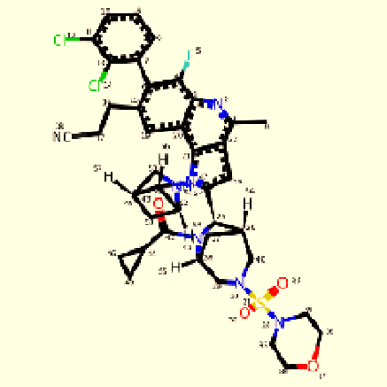 Cc1nc2c(F)c(-c3cccc(Cl)c3Cl)c(CCC#N)cc2c2c1cc([C@H]1[C@H]3C[C@H](CN(S(=O)(=O)N4CCOCC4)C3)N1C(=O)C1CC1)n2[C@H]1[C@H]2CN[C@@H]1C2